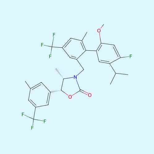 COc1cc(F)c(C(C)C)cc1-c1c(C)cc(C(F)(F)F)cc1CN1C(=O)O[C@H](c2cc(C)cc(C(F)(F)F)c2)[C@@H]1C